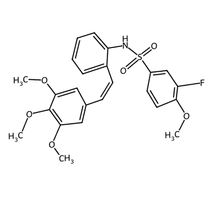 COc1ccc(S(=O)(=O)Nc2ccccc2C=Cc2cc(OC)c(OC)c(OC)c2)cc1F